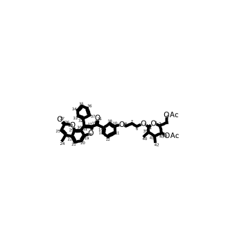 CC(=O)OCC1OC(OCCCOc2cccc(C(=O)c3oc4ccc5c(C)cc(=O)oc5c4c3-c3ccccc3)c2)C(C)C(C)C1OC(C)=O